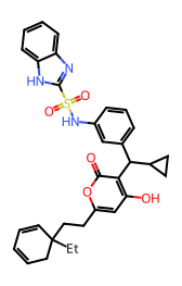 CCC1(CCc2cc(O)c(C(c3cccc(NS(=O)(=O)c4nc5ccccc5[nH]4)c3)C3CC3)c(=O)o2)C=CC=CC1